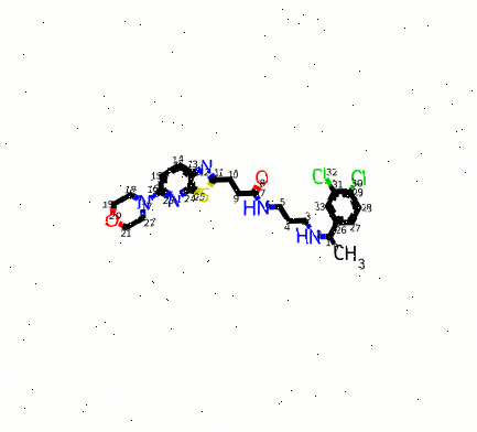 CC(NCCCNC(=O)CCc1nc2ccc(N3CCOCC3)nc2s1)c1ccc(Cl)c(Cl)c1